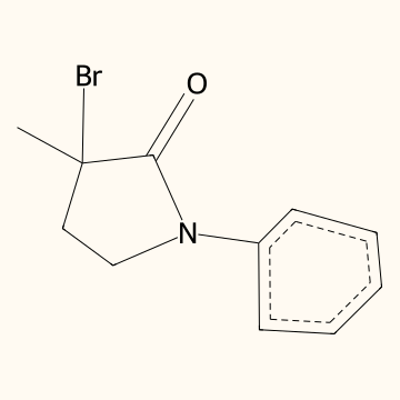 CC1(Br)CCN(c2ccccc2)C1=O